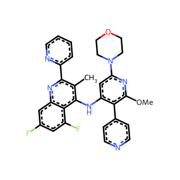 COc1nc(N2CCOCC2)cc(Nc2c(C)c(-c3ccccn3)nc3cc(F)cc(F)c23)c1-c1ccncc1